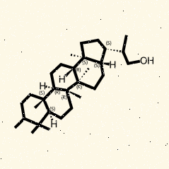 CC(CO)[C@H]1CC[C@]2(C)[C@H]3CC[C@@H]4[C@@]5(C)CCC(C)C(C)(C)[C@@H]5CC[C@@]4(C)[C@]3(C)CC[C@@H]12